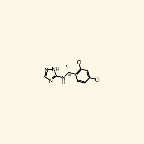 C[C@@H](Nc1ncn[nH]1)c1ccc(Cl)cc1Cl